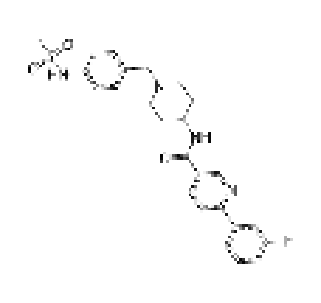 CS(=O)(=O)Nc1ccc(CN2CCC(NC(=O)c3ccc(-c4cccc(F)c4)nc3)CC2)cc1